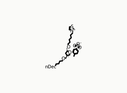 CCCCCCCCCCCCCCOC[C@@H]1CO[C@@H](COCCCCCC[n+]2ccsc2)C1.Cc1ccc(S(=O)(=O)[O-])cc1